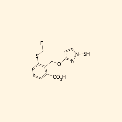 O=C(O)c1cccc(SCF)c1COc1ccn(S)n1